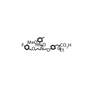 CCOC(Cc1ccc(OCCN(CCCOCc2ccc(F)cc2)C(=O)Nc2cc(C)ccc2OC)cc1)C(=O)O